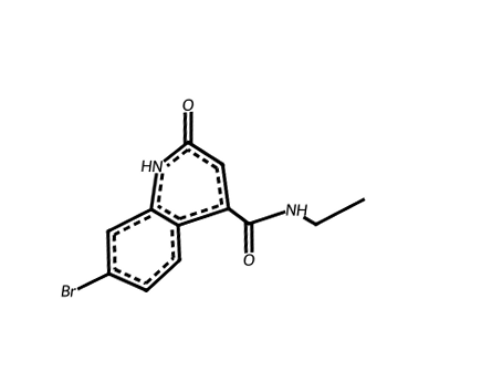 CCNC(=O)c1cc(=O)[nH]c2cc(Br)ccc12